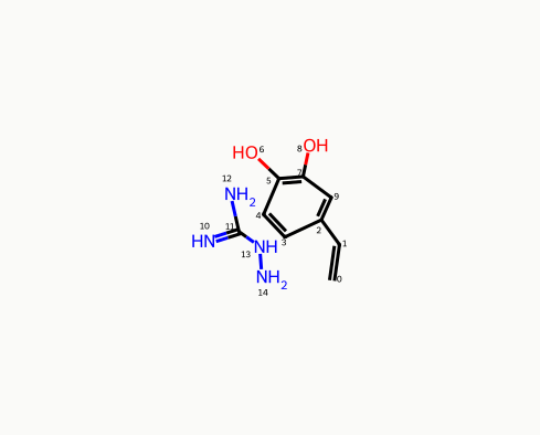 C=Cc1ccc(O)c(O)c1.N=C(N)NN